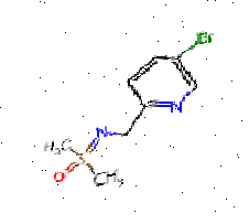 CS(C)(=O)=NCc1ccc(Br)cn1